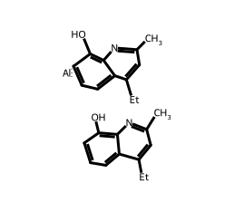 CCc1cc(C)nc2c(O)cccc12.CCc1cc(C)nc2c(O)cccc12.[Al]